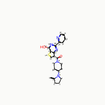 C=C1CCCN1C1CCN(C(=O)c2csc3c(O)nc(-c4ccccn4)nc23)CC1